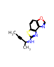 CC#CC(C)Nc1nc2c(ccc3ocnc32)s1